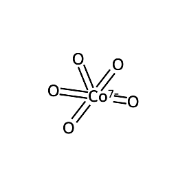 [O]=[Co-7](=[O])(=[O])(=[O])=[O]